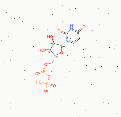 O=c1ccn([C@@H]2O[C@H](CO[PH](=O)OP(=O)(O)O)[C@@H](O)[C@H]2O)c(=O)[nH]1